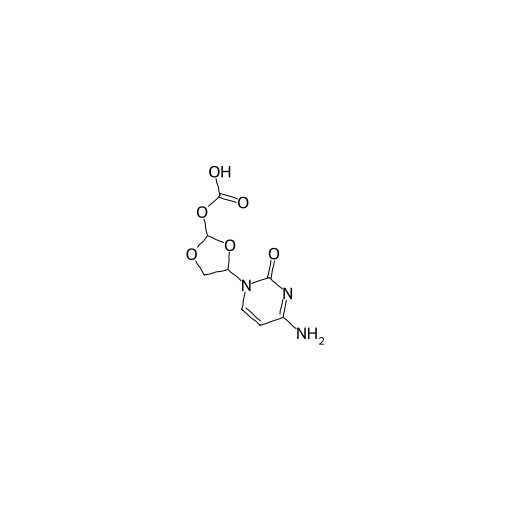 Nc1ccn(C2COC(OC(=O)O)O2)c(=O)n1